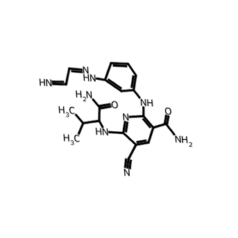 CC(C)C(Nc1nc(Nc2cccc(N/N=C\C=N)c2)c(C(N)=O)cc1C#N)C(N)=O